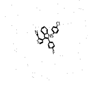 N#Cc1sccc1-c1c(-c2ccc(F)cc2)n(Sc2ccc(Cl)cc2)c2ccccc12